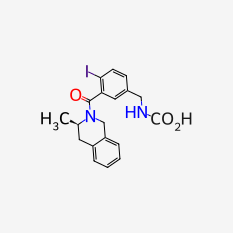 C[C@@H]1Cc2ccccc2CN1C(=O)c1cc(CNC(=O)O)ccc1I